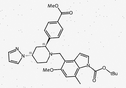 COC(=O)c1ccc([C@@H]2C[C@@H](n3cccn3)CCN2Cc2c(OC)cc(C)c3c2ccn3C(=O)OC(C)(C)C)cc1